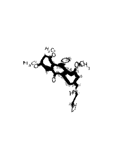 COc1cc(OC)c2c(c1)C(=O)c1cc(CNCCCl)cc(OC)c1C2=O